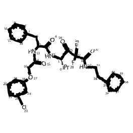 CC(C)[C@H](NC(=O)C(Cc1ccccc1)NC(=O)COc1cccc(Cl)c1)C(=O)C(F)(F)C(=O)NCCc1ccccc1